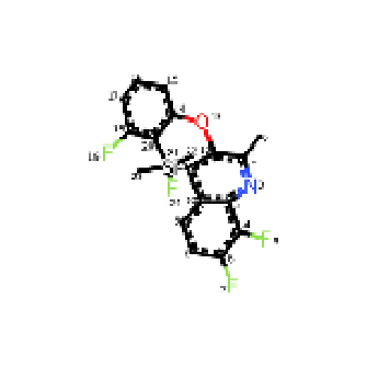 Cc1nc2c(F)c(F)ccc2cc1Oc1cccc(F)c1[Si](C)(C)F